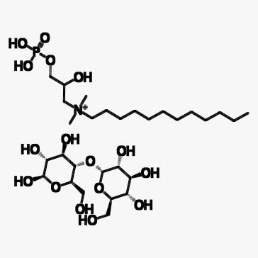 CCCCCCCCCCCC[N+](C)(C)CC(O)COP(=O)(O)O.OC[C@H]1O[C@H](O[C@H]2[C@H](O)[C@@H](O)[C@H](O)O[C@@H]2CO)[C@H](O)[C@@H](O)[C@@H]1O